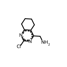 NCc1nc(Cl)nc2c1CCCC2